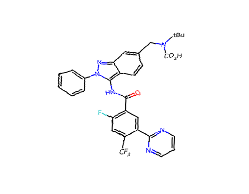 CC(C)(C)N(Cc1ccc2c(NC(=O)c3cc(-c4ncccn4)c(C(F)(F)F)cc3F)n(-c3ccccc3)nc2c1)C(=O)O